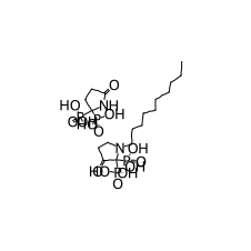 CCCCCCCCCCN1CCC(=O)C1(P(=O)(O)O)P(=O)(O)O.O=C1CCC(P(=O)(O)O)(P(=O)(O)O)N1